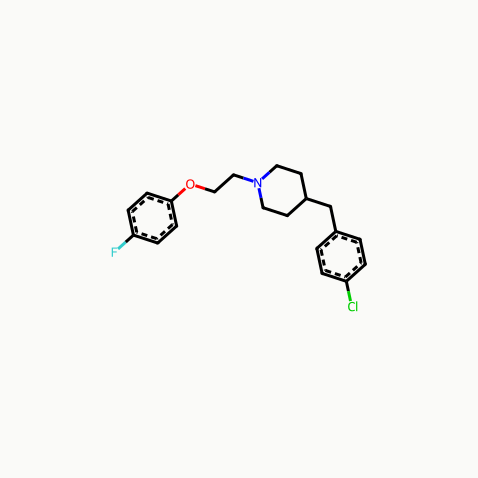 Fc1ccc(OCCN2CCC(Cc3ccc(Cl)cc3)CC2)cc1